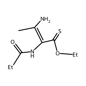 CCOC(=S)C(NC(=O)CC)=C(C)N